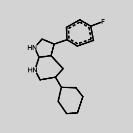 Fc1ccc(C2CNC3NCC(C4CCCCC4)CC32)cc1